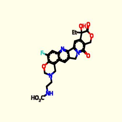 CCC1(O)C(=O)OCc2c1cc1n(c2=O)Cc2cc3c4c(c(F)cc3nc2-1)OCN(CCNC(=O)O)C4